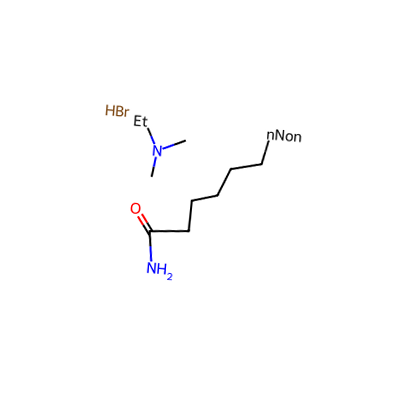 Br.CCCCCCCCCCCCCCC(N)=O.CCN(C)C